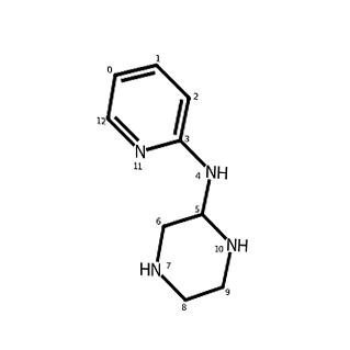 c1ccc(NC2CNCCN2)nc1